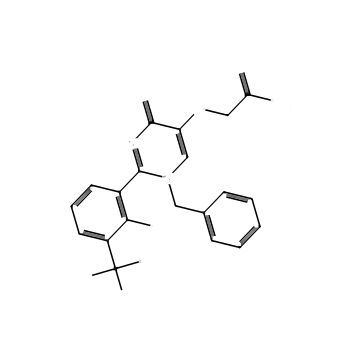 CC(=O)COc1cn(Cc2ccccc2)c(-c2cccc(C(F)(F)F)c2Cl)nc1=O